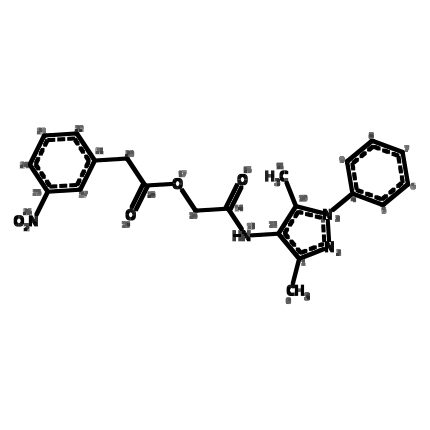 Cc1nn(-c2ccccc2)c(C)c1NC(=O)COC(=O)Cc1cccc([N+](=O)[O-])c1